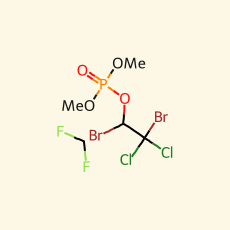 COP(=O)(OC)OC(Br)C(Cl)(Cl)Br.FCF